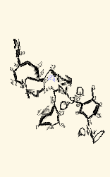 Cc1ccc([N+](=O)[O-])cc1S(=O)(=O)N(Cc1ccccc1)/N=C\c1cnn2ccc(C#N)cc12